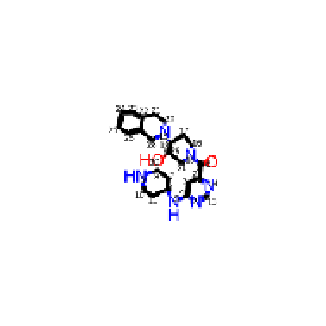 O=C(c1cc(NC2CCNCC2)ncn1)N1CC[C@@H](N2CCc3ccccc3C2)[C@H](O)C1